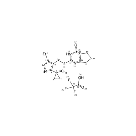 CCn1cnc(C2(C(F)(F)F)CC2)c1CSc1nc2c(c(=O)[nH]1)CCC2.O=C(O)C(F)(F)F